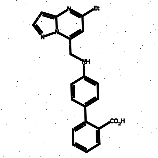 CCc1cc(CNc2ccc(-c3ccccc3C(=O)O)cc2)n2nccc2n1